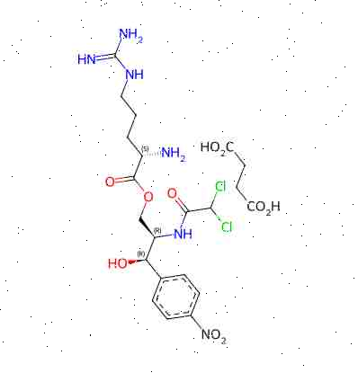 N=C(N)NCCC[C@H](N)C(=O)OC[C@@H](NC(=O)C(Cl)Cl)[C@H](O)c1ccc([N+](=O)[O-])cc1.O=C(O)CCC(=O)O